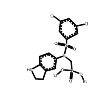 CCOP(=O)(CN(c1ccc2c(c1)CCN2)S(=O)(=O)c1cc(Cl)cc(Cl)c1)OCC